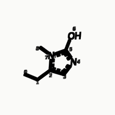 CCc1cnc(O)n1C